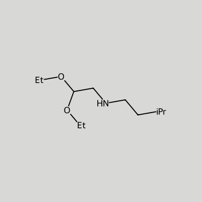 CCOC(CNCCC(C)C)OCC